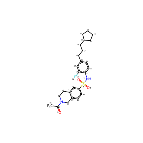 O=C(N1CCc2cc(S(=O)(=O)Nc3ccc(CCCC4CCCC4)cc3F)ccc2C1)C(F)(F)F